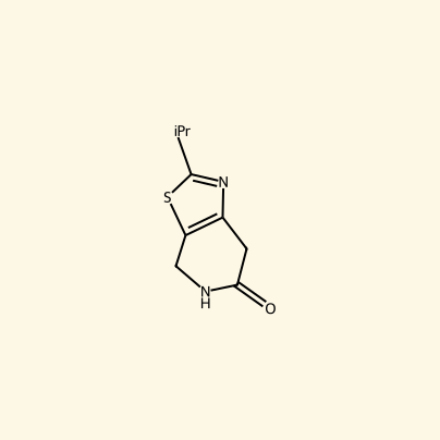 CC(C)c1nc2c(s1)CNC(=O)C2